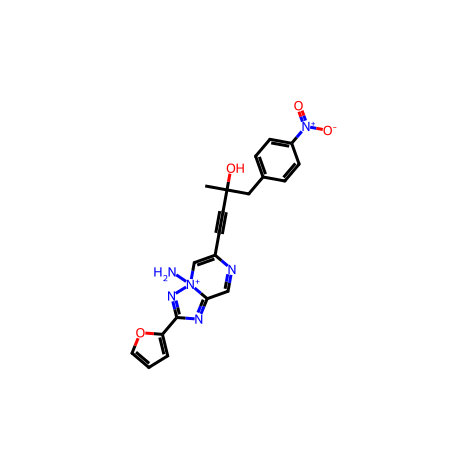 CC(O)(C#CC1=C[N+]2(N)N=C(c3ccco3)N=C2C=N1)Cc1ccc([N+](=O)[O-])cc1